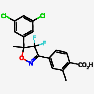 Cc1cc(C2=NOC(C)(c3cc(Cl)cc(Cl)c3)C2(F)F)ccc1C(=O)O